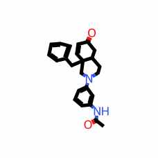 CC(=O)Nc1cccc(N2CCC3CC(=O)C=CC3(Cc3ccccc3)C2)c1